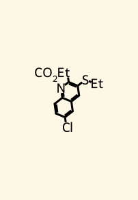 CCOC(=O)c1nc2ccc(Cl)cc2cc1SCC